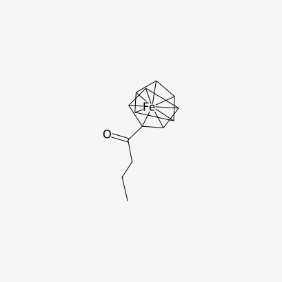 CCCC(=O)[C]12[CH]3[CH]4[CH]5[CH]1[Fe]45321678[CH]2[CH]1[CH]6[CH]7[CH]28